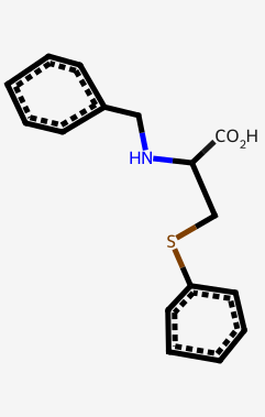 O=C(O)C(CSc1ccccc1)NCc1ccccc1